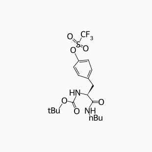 CCCCNC(=O)[C@H](Cc1ccc(OS(=O)(=O)C(F)(F)F)cc1)NC(=O)OC(C)(C)C